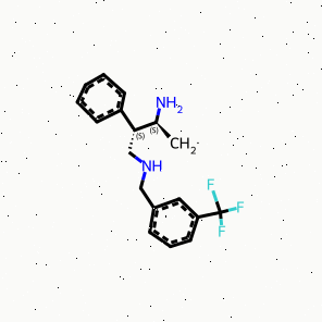 [CH2][C@H](N)[C@H](CNCc1cccc(C(F)(F)F)c1)c1ccccc1